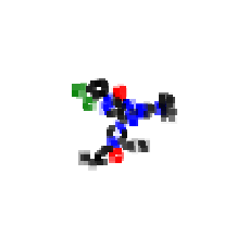 C=CC(=O)N1CCN(c2nc(N3CC(N(CC)CC)C3)nc3c(=O)n(-c4cccc(Cl)c4Cl)ncc23)CC1CC#N